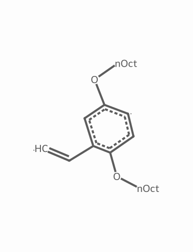 [CH]=Cc1cc(OCCCCCCCC)[c]cc1OCCCCCCCC